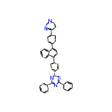 c1ccc(-c2nc(-c3ccccc3)nc(-c3ccc(-c4ccc(-c5ccc(-c6ccncn6)cc5)c5ccccc45)cc3)n2)cc1